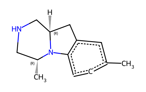 Cc1ccc2c(c1)C[C@@H]1CNC[C@@H](C)N21